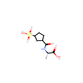 C[C@H](NC(=O)C1CCC(S(=O)(=O)O)C1)C(=O)O